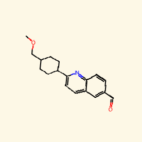 COCC1CCC(c2ccc3cc(C=O)ccc3n2)CC1